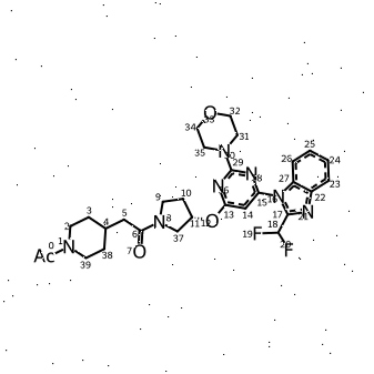 CC(=O)N1CCC(CC(=O)N2CC[C@H](Oc3cc(-n4c(C(F)F)nc5ccccc54)nc(N4CCOCC4)n3)C2)CC1